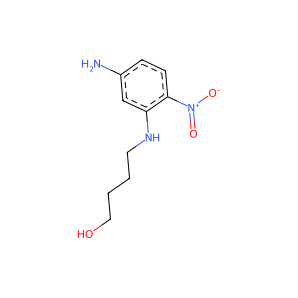 Nc1ccc([N+](=O)[O-])c(NCCCCO)c1